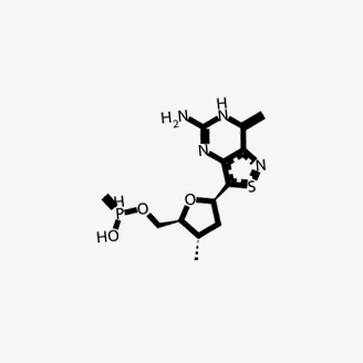 C=C1NC(N)=Nc2c1nsc2[C@H]1C[C@H](C)[C@@H](CO[PH](=C)O)O1